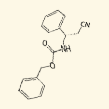 N#CC[C@H](NC(=O)OCc1ccccc1)c1ccccc1